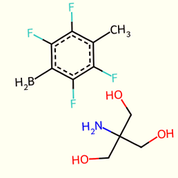 Bc1c(F)c(F)c(C)c(F)c1F.NC(CO)(CO)CO